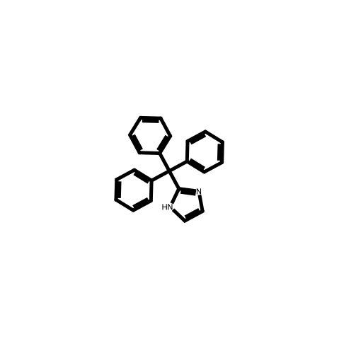 c1ccc(C(c2ccccc2)(c2ccccc2)c2ncc[nH]2)cc1